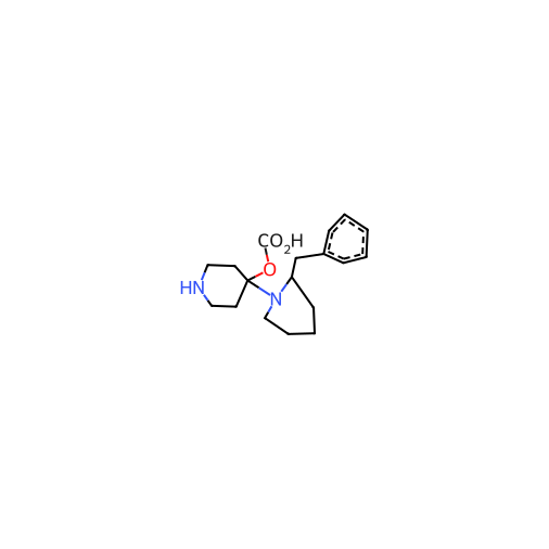 O=C(O)OC1(N2CCCCC2Cc2ccccc2)CCNCC1